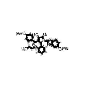 COc1ccc(C(=O)C2=C(O)C(=O)N(c3nc4cc(OC)ccc4s3)C2c2ccccc2OCCO)cc1